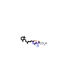 CC(=CC=CC(C)=N[C@@H](C)C(=O)N[C@@H](C)C(=O)O)CCC1=C(C)CCCC1(C)C